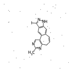 Cc1ncc2c(n1)CC=Cc1cc3[nH]nc(I)c3cc1-2